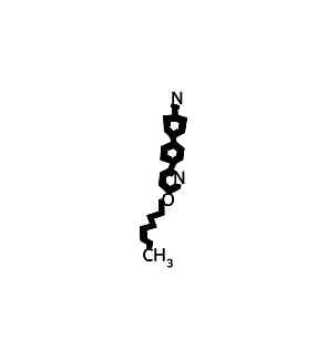 CC/C=C\CCCCOc1ccc(-c2ccc(-c3ccc(C#N)cc3)cc2)nc1